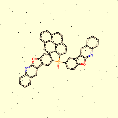 O=P(c1ccc2oc3nc4ccccc4cc3c2c1)(c1ccc2oc3nc4ccccc4cc3c2c1)c1ccc2ccc3cccc4ccc1c2c34